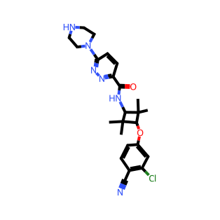 CC1(C)C(NC(=O)c2ccc(N3CCNCC3)nn2)C(C)(C)C1Oc1ccc(C#N)c(Cl)c1